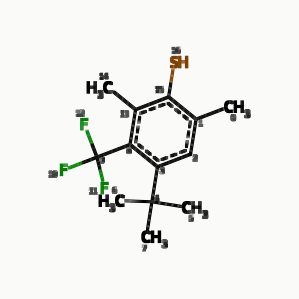 Cc1cc(C(C)(C)C)c(C(F)(F)F)c(C)c1S